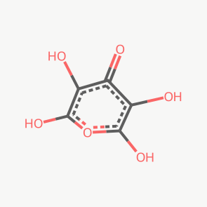 O=c1c(O)c(O)oc(O)c1O